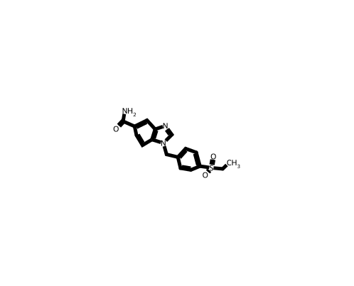 CCS(=O)(=O)c1ccc(Cn2cnc3cc(C(N)=O)ccc32)cc1